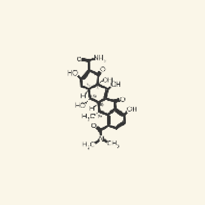 C[C@H]1c2c(C(=O)N(C)C)ccc(O)c2C(=O)C2=C(O)[C@]3(O)C(=O)C(C(N)=O)=C(O)C[C@@H]3[C@@H](O)[C@@H]21